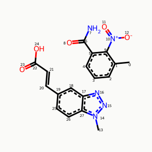 Cc1cccc(C(N)=O)c1[N+](=O)[O-].Cn1nnc2cc(C=CC(=O)O)ccc21